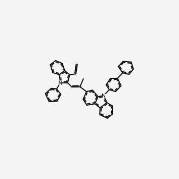 C=Cc1c(/C=C(\C)c2ccc3c4ccccc4n(-c4ccc(-c5ccccc5)cc4)c3c2)n(-c2ccccc2)c2ccccc12